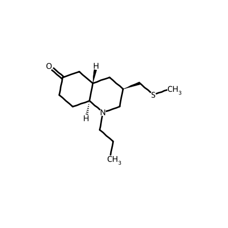 CCCN1C[C@H](CSC)C[C@H]2CC(=O)CC[C@@H]21